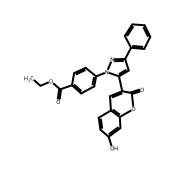 CCOC(=O)c1ccc(-n2nc(-c3ccccc3)cc2-c2cc3ccc(O)cc3oc2=O)cc1